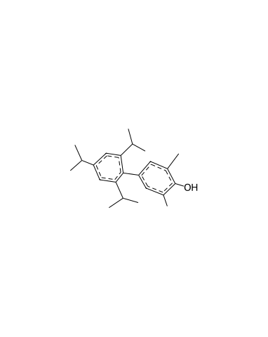 Cc1cc(-c2c(C(C)C)cc(C(C)C)cc2C(C)C)cc(C)c1O